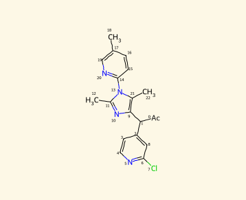 CC(=O)C(c1ccnc(Cl)c1)c1nc(C)n(-c2ccc(C)cn2)c1C